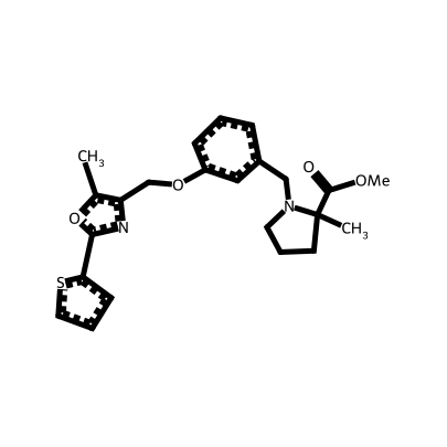 COC(=O)C1(C)CCCN1Cc1cccc(OCc2nc(-c3cccs3)oc2C)c1